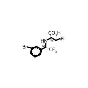 CC(C)C[C@H](N[C@@H](c1cccc(Br)c1)C(F)(F)F)C(=O)O